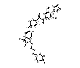 Cc1c(C)n(CCCCN2CCN(C)CC2)c2ccc(Cc3ccc(C(=O)Nc4cc(O)c(-n5ccnc5)c(O)c4)cc3)cc12